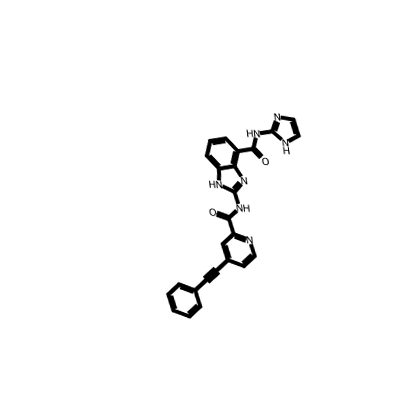 O=C(Nc1nc2c(C(=O)Nc3ncc[nH]3)cccc2[nH]1)c1cc(C#Cc2ccccc2)ccn1